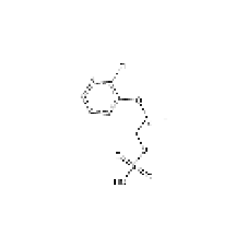 C[C@H](COS(=O)(=O)O)Oc1cccnc1Cl